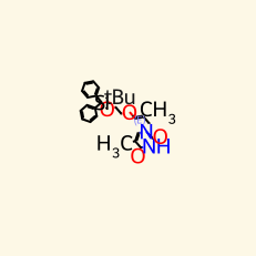 C/C(=C\OCCO[Si](c1ccccc1)(c1ccccc1)C(C)(C)C)Cn1cc(C)c(=O)[nH]c1=O